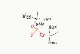 CCCCCCC(C)(CCCCCC)OP(=O)(OC(C)(CCCCCC)CCCCCC)SC